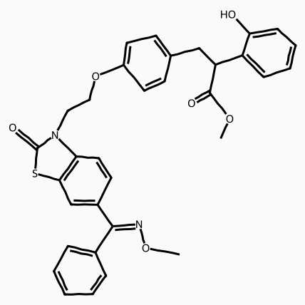 CON=C(c1ccccc1)c1ccc2c(c1)sc(=O)n2CCOc1ccc(CC(C(=O)OC)c2ccccc2O)cc1